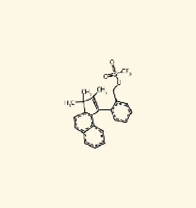 CC1=C(c2ccccc2COS(=O)(=O)C(F)(F)F)c2c(ccc3ccccc23)C1(C)C